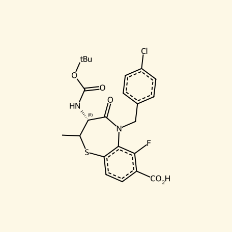 CC1Sc2ccc(C(=O)O)c(F)c2N(Cc2ccc(Cl)cc2)C(=O)[C@H]1NC(=O)OC(C)(C)C